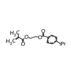 C=C(C)C(=O)OCCOC(=O)c1ccc(C(C)C)cc1